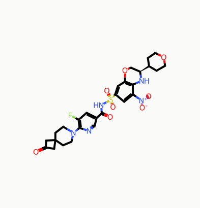 O=C1CC2(CCN(c3ncc(C(=O)NS(=O)(=O)c4cc5c(c([N+](=O)[O-])c4)N[C@H](C4CCOCC4)CO5)cc3F)CC2)C1